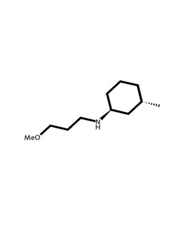 COCCCN[C@H]1CCC[C@H](C)C1